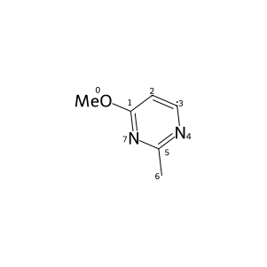 COc1c[c]nc(C)n1